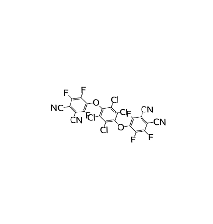 N#Cc1c(F)c(F)c(Oc2c(Cl)c(Cl)c(Oc3c(F)c(F)c(C#N)c(C#N)c3F)c(Cl)c2Cl)c(F)c1C#N